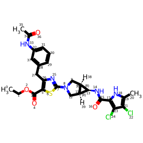 CCOC(=O)c1sc(N2C[C@@H]3[C@H](C2)[C@@H]3NC(=O)c2[nH]c(C)c(Cl)c2Cl)nc1Cc1cccc(NC(C)=O)c1